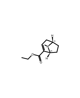 CCOC(=O)C1=CC[C@@H]2CC[C@H]1N2C